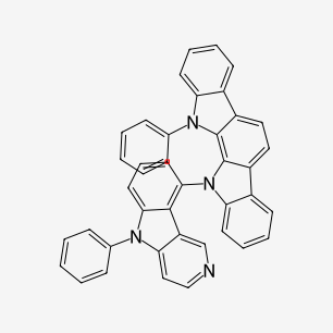 c1ccc(-n2c3ccncc3c3c(-n4c5ccccc5c5ccc6c7ccccc7n(-c7ccccc7)c6c54)cccc32)cc1